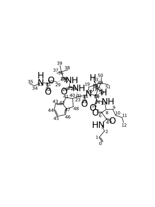 C=CCNC(=O)C(=O)C(CCCC)NC(=O)[C@@H]1[C@@H]2[C@H](CN1C(=O)[C@@H](NC(=O)N[C@H](COC(=O)NCC)C(C)(C)C)C1Cc3ccccc3C1)C2(C)C